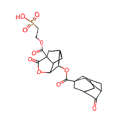 O=C1C2CC3CC1CC(C(=O)OC1C4CC5C1OC(=O)C5(C(=O)OCCS(=O)(=O)O)C4)(C3)C2